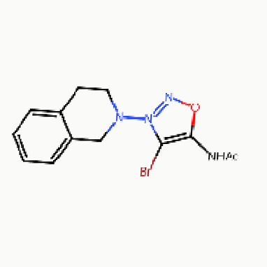 CC(=O)[N-]c1on[n+](N2CCc3ccccc3C2)c1Br